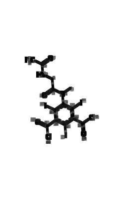 CN(C(=O)CNC(=O)C(F)(F)F)c1c(I)c(C(=O)Cl)c(I)c(C(=O)Cl)c1I